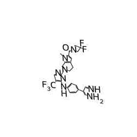 Cn1c(C(=O)N2CC(F)(F)C2)cc2c1CN(c1ncc(C(F)(F)F)c(Nc3ccc(/C(C=N)=C/N)cc3)n1)CC2